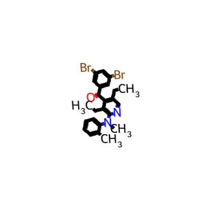 CCc1cnc(N(C)c2ccccc2C)c(CC)c1C(=O)c1cc(Br)cc(Br)c1